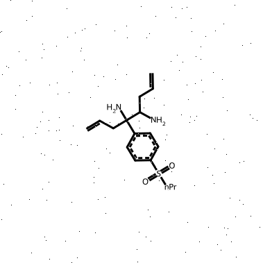 C=CCC(N)C(N)(CC=C)c1ccc(S(=O)(=O)CCC)cc1